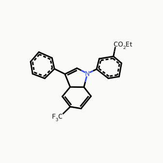 CCOC(=O)c1cccc(N2C=C(c3ccccc3)C3C=C(C(F)(F)F)C=CC32)c1